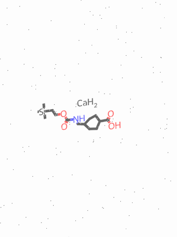 C[Si](C)(C)CCOC(=O)NCC1CCC(C(=O)O)CC1.[CaH2]